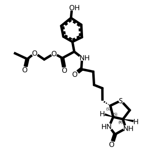 CC(=O)OCOC(=O)C(NC(=O)CCCC[C@@H]1SC[C@@H]2NC(=O)N[C@@H]21)c1ccc(O)cc1